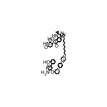 Nc1nnc(-c2ccccc2O)cc1OC1CCCN(c2ccc(N3CCN(CCCCCCCCCn4cc(C5(Nc6cccc7c6C(O)N(C6CCC(=O)NC6=O)C7=O)CC5)nn4)CC3)cc2)C1